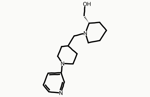 OC[C@@H]1CCCCN1CC1CCN(c2cccnc2)CC1